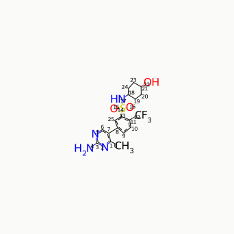 Cc1nc(N)ncc1-c1ccc(C(F)(F)F)c(S(=O)(=O)NC2CCC(O)CC2)c1